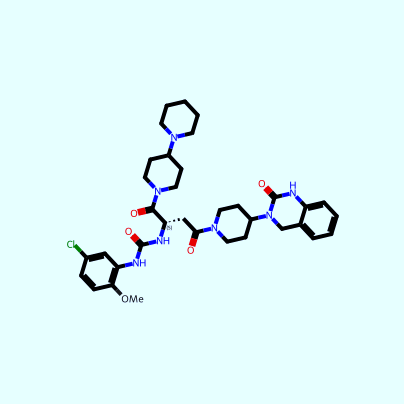 COc1ccc(Cl)cc1NC(=O)N[C@@H](CC(=O)N1CCC(N2Cc3ccccc3NC2=O)CC1)C(=O)N1CCC(N2CCCCC2)CC1